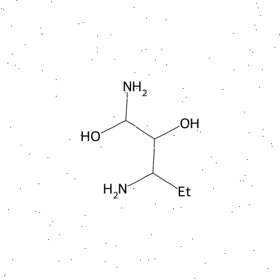 CCC(N)C(O)C(N)O